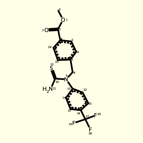 COC(=O)c1ccc(CN(C(N)=S)c2ccc(C(F)(F)F)cc2)cc1